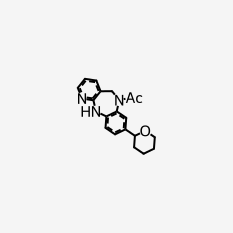 CC(=O)N1Cc2cccnc2Nc2ccc(C3CCCCO3)cc21